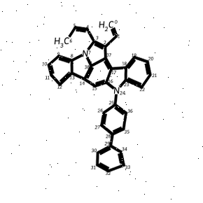 C=Cc1c(/C=C\C)n2c3ccccc3c3cc4c(c5ccccc5n4-c4ccc(-c5ccccc5)cc4)c1c32